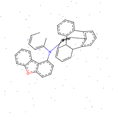 C/C=C\C=C(/C)N(c1cccc2c1C1=CC=CC3c4cccc(c4-2)-c2ccccc2C13)c1cccc2oc3ccccc3c12